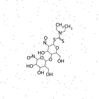 CCN(CC)C(=S)SC1OC(CO)C(OC2OC(N=O)C(O)C(O)C2CO)C(O)C1N=O